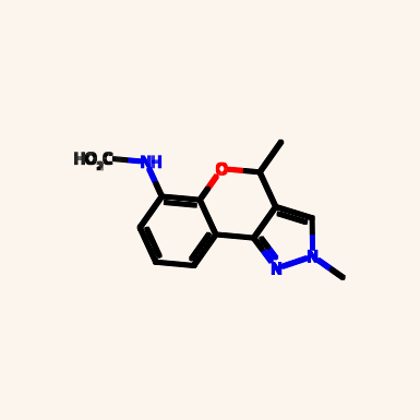 CC1Oc2c(NC(=O)O)cccc2-c2nn(C)cc21